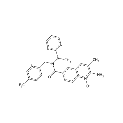 Cc1cc2cc(C(=O)N(Cc3ccc(C(F)(F)F)cn3)N(C)c3ncccn3)ccc2[n+]([O-])c1N